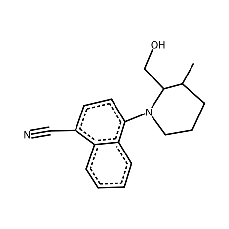 CC1CCCN(c2ccc(C#N)c3ccccc23)C1CO